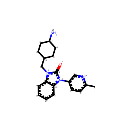 Cc1ccc(-n2c(=O)n(CC3CCC(N)CC3)c3ccccc32)cn1